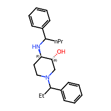 CCCC(N[C@@H]1CCN(C(CC)c2ccccc2)C[C@H]1O)c1ccccc1